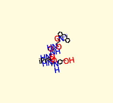 CC(NC(=O)[C@@H](NC(=O)CNC(=O)CNC(=O)CCC(=O)N1Cc2ccccc2/C=C\c2ccccc21)C(C)C)C(=O)Nc1ccc(CO)cc1